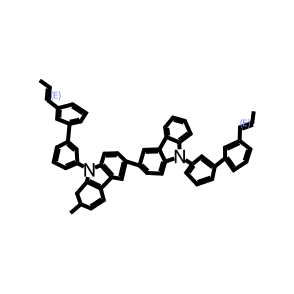 C/C=C/c1cccc(-c2cccc(-n3c4c(c5cc(-c6ccc7c(c6)c6ccccc6n7-c6cccc(-c7cccc(/C=C/C)c7)c6)ccc53)C=CC(C)C4)c2)c1